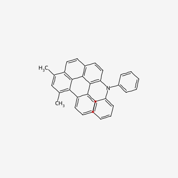 Cc1cc(C)c2c3ccccc3c3c(N(c4ccccc4)c4ccccc4)ccc4ccc1c2c43